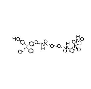 O=C(CCOCCOCCC(=O)Nc1cccc2c1CN(C1CCC(=O)NC1=O)C2=O)NCCOc1ccc(C(=C(CCCl)c2ccccc2)c2ccc(O)cc2)cc1